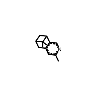 Cc1cc2c(cn1)C1CC(C2)C1(C)C